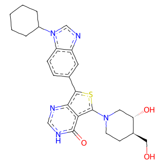 O=c1[nH]cnc2c(-c3ccc4c(c3)ncn4C3CCCCC3)sc(N3CC[C@H](CO)[C@@H](O)C3)c12